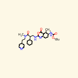 Cc1c(NC(=O)OC(C)(C)C)ccc2nc(NCC(C(=O)N(C)CCc3ccncc3)c3ccccc3)oc(=O)c12